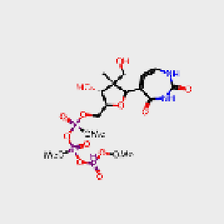 COO[PH](=O)OP(=O)(OC)OP(=O)(OC)OCC1OC(C2=C=CNC(=O)NC2=O)[C@@](C)(CO)[C@H]1O